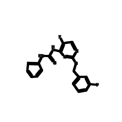 O=C(Nc1ccccc1)Nc1nc(OCc2cccc(F)c2)ncc1F